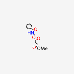 COC(=O)/C=C/C(=O)OCNC(=O)c1ccccc1